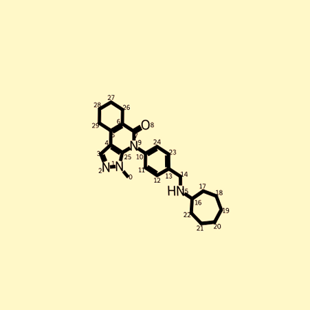 Cn1ncc2c3c(c(=O)n(-c4ccc(CNC5CCCCCC5)cc4)c21)CCCC3